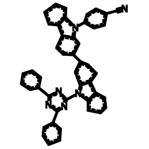 N#Cc1ccc(-n2c3ccccc3c3ccc(-c4ccc5c6ccccc6n(-c6nc(-c7ccccc7)nc(-c7ccccc7)n6)c5c4)cc32)cc1